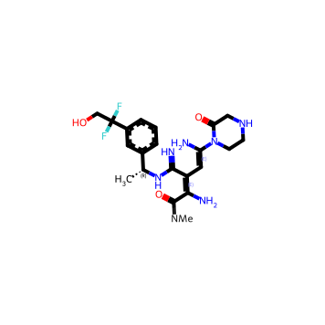 CNC(=O)/C(N)=C(/C=C(\N)N1CCNCC1=O)C(=N)N[C@H](C)c1cccc(C(F)(F)CO)c1